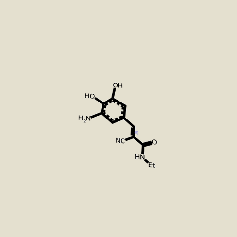 CCNC(=O)/C(C#N)=C/c1cc(N)c(O)c(O)c1